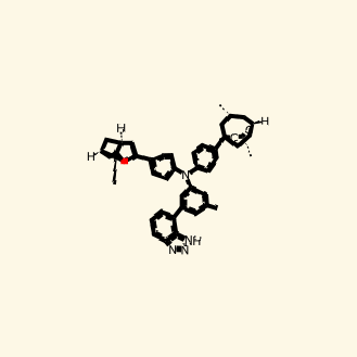 Cc1cc(-c2cccc3nn[nH]c23)cc(N(c2ccc(C34CC[C@@H](C[C@@H](C)C3)C[C@H](C)C4)cc2)c2ccc(C34CC5[C@@H](C[C@@H](C)C3)C[C@H]5C4)cc2)c1